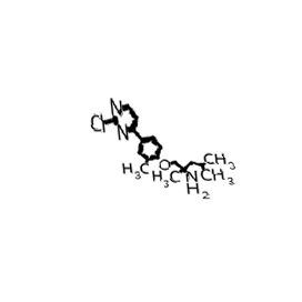 Cc1cc(-c2ccnc(Cl)n2)ccc1OCC(C)(N)CC(C)C